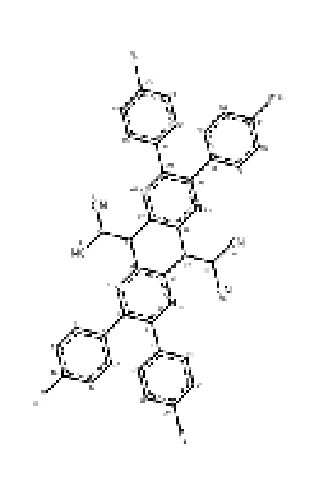 N#CC(C#N)C1c2nc(-c3ccc(F)cc3)c(-c3ccc(F)cc3)nc2C(C(C#N)C#N)c2nc(-c3ccc(F)cc3)c(-c3ccc(F)cc3)nc21